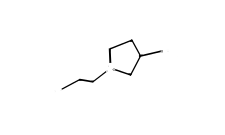 BC1CCN(CCC(C)(C)C)C1